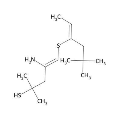 C/C=C(/CC(C)(C)C)S/C=C(\N)CC(C)(C)S